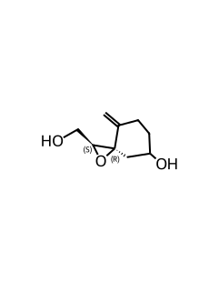 C=C1CCC(O)C[C@@]12O[C@H]2CO